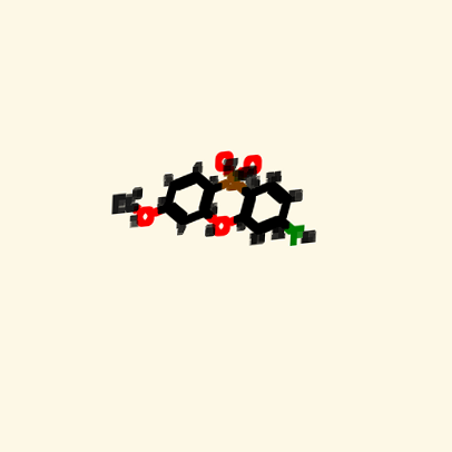 CCOc1ccc2c(c1)Oc1cc(F)ccc1S2(=O)=O